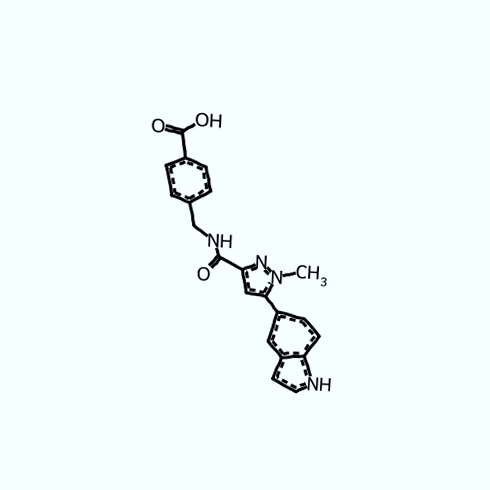 Cn1nc(C(=O)NCc2ccc(C(=O)O)cc2)cc1-c1ccc2[nH]ccc2c1